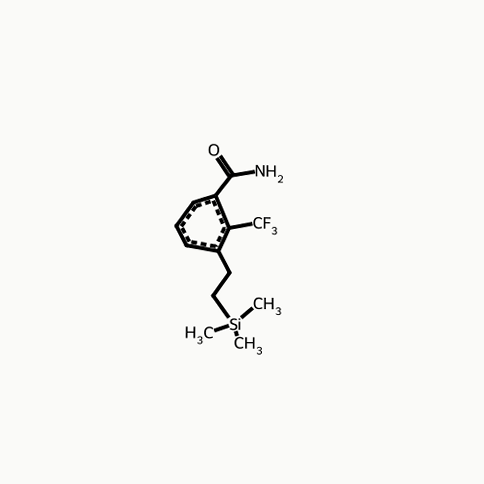 C[Si](C)(C)CCc1cccc(C(N)=O)c1C(F)(F)F